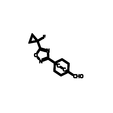 O=CC12CCC(c3noc(C4(F)CC4)n3)(CC1)CC2